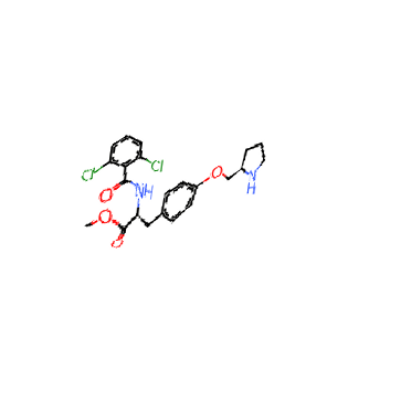 COC(=O)[C@H](Cc1ccc(OC[C@H]2CCCN2)cc1)NC(=O)c1c(Cl)cccc1Cl